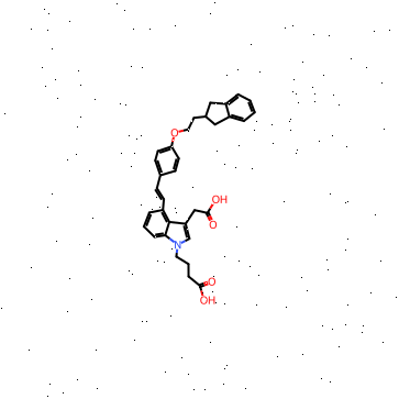 O=C(O)CCCn1cc(CC(=O)O)c2c(C=Cc3ccc(OCCC4Cc5ccccc5C4)cc3)cccc21